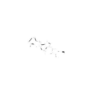 C#CC1OC(n2cnc3c(Nc4cccc(Cl)c4C)ncnc32)C(OC(C)=O)C1OC(C)=O